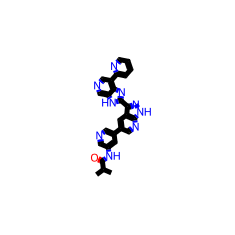 CC(C)C(=O)Nc1cncc(-c2cnc3[nH]nc(-c4nc5c(-c6ccccn6)cncc5[nH]4)c3c2)c1